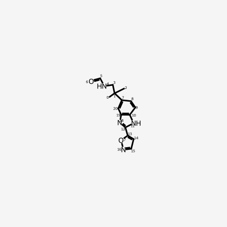 CC(C)(CNC=O)c1ccc2[nH]c(-c3ccno3)nc2c1